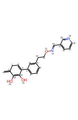 C=C1CC=C(c2cccc(CCON=Cc3cccnc3)c2)C(O)=C1O